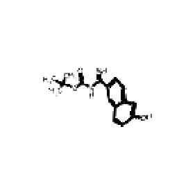 CC(C)(C)OC(=O)NC(=N)c1ccc2cc(O)ccc2c1